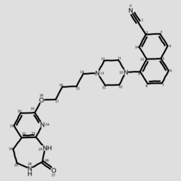 N#Cc1ccc2cccc(N3CCN(CCCCOc4ccc5c(n4)NC(=O)NCC5)CC3)c2c1